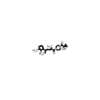 C=C/C(=C\C=C(/C)C(=O)N1CCN(C(=O)C2(O)CC2)CC1)c1cccc(C)c1F